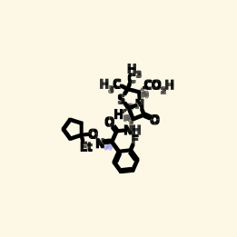 CCC1(O/N=C(\C(=O)N[C@H]2C(=O)N3[C@@H]2SC(C)(C)[C@@H]3C(=O)O)c2ccccc2F)CCCC1